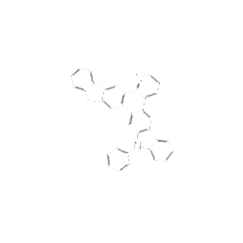 c1ccc(-n2c3ccccc3c3cc4c(cc32)c2cc3sc5ccccc5c3cc2c2ncccc42)cc1